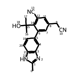 Cc1nc2cc(-c3cc(CC#N)cc(C#N)c3C(C)(C)O)ccc2[nH]1